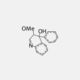 COC1C=Nc2ccccc2C1(O)c1ccccc1